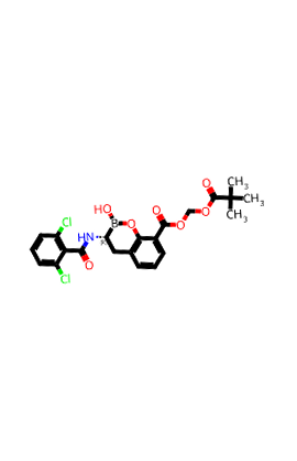 CC(C)(C)C(=O)OCOC(=O)c1cccc2c1OB(O)[C@@H](NC(=O)c1c(Cl)cccc1Cl)C2